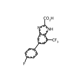 O=C(O)c1nc2cc(-c3ccc(F)cc3)cc(C(F)(F)F)c2[nH]1